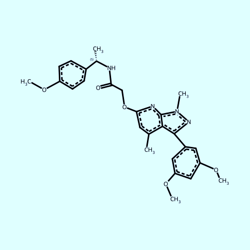 COc1ccc([C@H](C)NC(=O)COc2cc(C)c3c(-c4cc(OC)cc(OC)c4)nn(C)c3n2)cc1